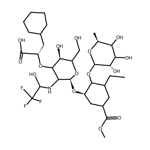 CCC1CC(C(=O)OC)C[C@@H](O[C@@H]2OC(CO)[C@H](O)C(O[C@@H](CC3CCCCC3)C(=O)O)C2NC(O)C(F)(F)F)C1OC1O[C@@H](C)C(O)C(O)[C@@H]1O